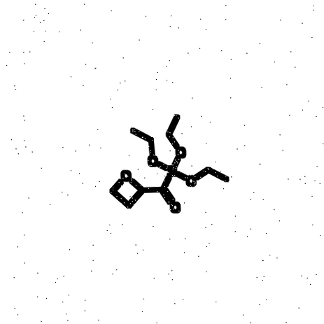 CCO[Si](OCC)(OCC)C(=O)C1CCO1